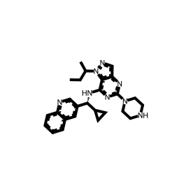 CCC(C)n1ncc2nc(N3CCNCC3)nc(N[C@@H](c3cnc4ccccc4c3)C3CC3)c21